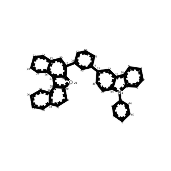 c1ccc(-n2c3ccccc3c3cc(-c4cccc(-c5cc6ccccc6c6c5oc5ccc7ccccc7c56)c4)ccc32)cc1